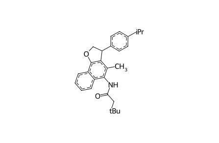 Cc1c2c(c3ccccc3c1NC(=O)CC(C)(C)C)OCC2c1ccc(C(C)C)cc1